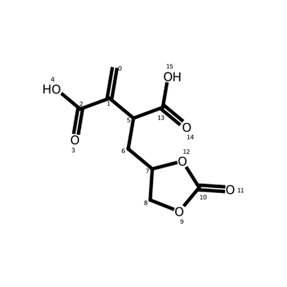 C=C(C(=O)O)C(CC1COC(=O)O1)C(=O)O